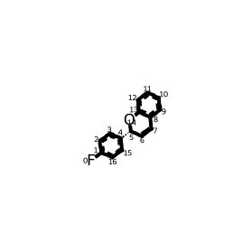 Fc1ccc([C@H]2C=Cc3ccccc3O2)cc1